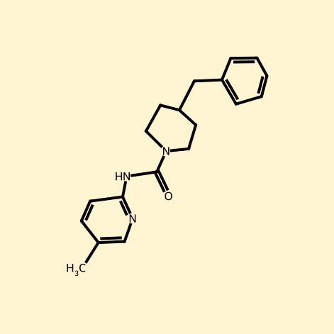 Cc1ccc(NC(=O)N2CCC(Cc3ccccc3)CC2)nc1